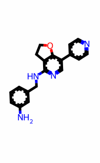 Nc1cccc(CNc2ncc(-c3ccncc3)c3c2CCO3)c1